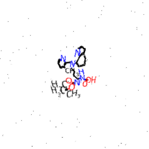 Cc1cccnc1CN(CCC/C(=N\C(=O)OC(C)(C)C)NC(=O)O)C1CCCc2cccnc21